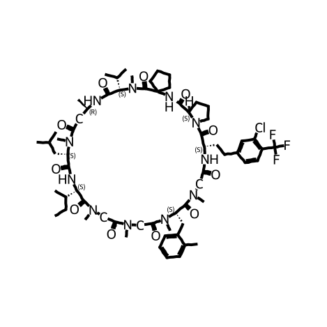 CCC(C)[C@@H]1NC(=O)[C@H](CC(C)C)N(C)C(=O)C[C@@H](C)NC(=O)[C@H](C(C)C)N(C)C(=O)C2(CCCC2)NC(=O)[C@@H]2CCCN2C(=O)[C@H](CCc2ccc(C(F)(F)F)c(Cl)c2)NC(=O)CN(C)C(=O)[C@H](Cc2ccccc2C)N(C)C(=O)CN(C)C(=O)CN(C)C1=O